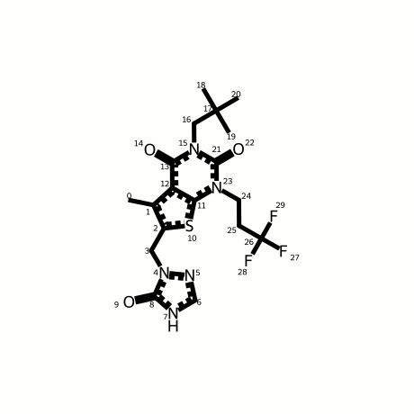 Cc1c(Cn2nc[nH]c2=O)sc2c1c(=O)n(CC(C)(C)C)c(=O)n2CCC(F)(F)F